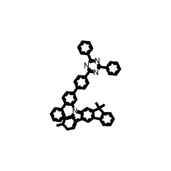 CC1C=c2c(c3cc4c(cc3n2-c2cc(-c3ccc(-c5nc(-c6ccccc6)nc(-c6ccccc6)n5)cc3)ccc2-c2ccccc2)C(C)(C)c2ccccc2-4)=CC1